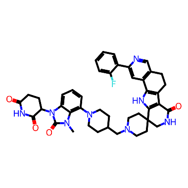 Cn1c(=O)n(C2CCC(=O)NC2=O)c2cccc(N3CCC(CN4CCC5(CC4)CNC(=O)c4c5[nH]c5c4CCc4cnc(-c6ccccc6F)cc4-5)CC3)c21